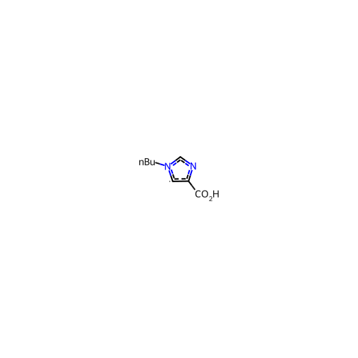 CCCCn1[c]c(C(=O)O)nc1